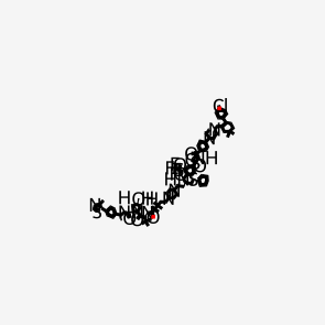 Cc1ncsc1-c1ccc([C@H](C)NC(=O)[C@@H]2C[C@@H](O)CN2C(=O)[C@@H](NC(=O)C(C)(C)C(C)(C)CCN2CCN(CC[C@H](CSc3ccccc3)Nc3ccc(S(=O)(=O)NC(=O)c4ccc(N5CCN(CC6=C(c7ccc(Cl)cc7)CCC(C)(C)C6)CC5)cc4)cc3S(=O)(=O)C(F)(F)F)CC2)C(C)(C)C)cc1